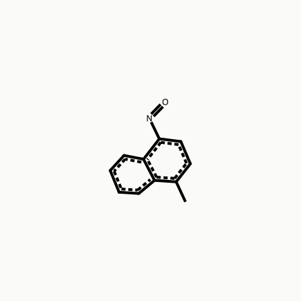 Cc1ccc(N=O)c2ccccc12